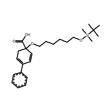 CC(C)(C)[Si](C)(C)OCCCCCCOC1(C(=O)O)C=CC(c2ccccc2)=CC1